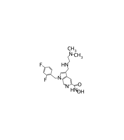 CN(C)CCNCc1cn(Cc2ccc(F)cc2F)c2cnc(C(=O)NO)cc12